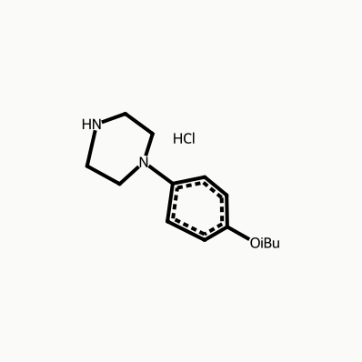 CC(C)COc1ccc(N2CCNCC2)cc1.Cl